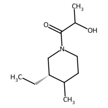 CC[C@@H]1CN(C(=O)C(C)O)CCC1C